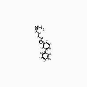 NCCCCOc1cccc(-c2ccccc2)c1